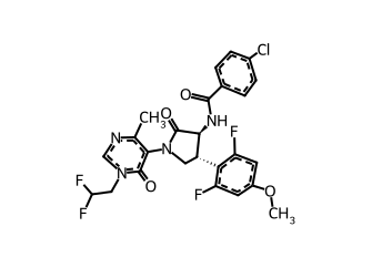 COc1cc(F)c([C@@H]2CN(c3c(C)ncn(CC(F)F)c3=O)C(=O)[C@H]2NC(=O)c2ccc(Cl)cc2)c(F)c1